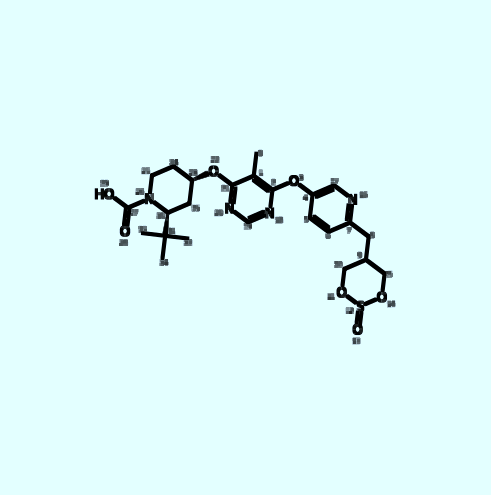 Cc1c(Oc2ccc(CC3COS(=O)OC3)nc2)ncnc1O[C@@H]1CCN(C(=O)O)[C@H](C(C)(C)C)C1